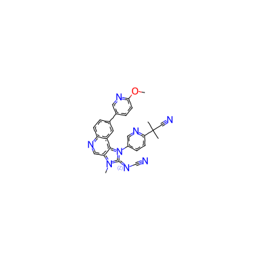 COc1ccc(-c2ccc3ncc4c(c3c2)n(-c2ccc(C(C)(C)C#N)nc2)/c(=N\C#N)n4C)cn1